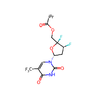 CC(C)C(=O)OC[C@@]1(F)O[C@@H](n2cc(C(F)(F)F)c(=O)[nH]c2=O)C[C@@H]1F